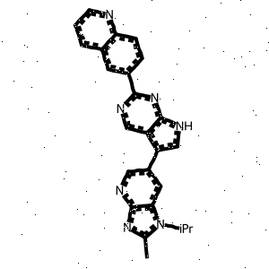 Cc1nc2ncc(-c3c[nH]c4nc(-c5ccc6ncccc6c5)ncc34)cc2n1C(C)C